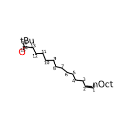 CCCCCCCC/C=C\CCCCCCCCCCCC(=O)C(C)(C)C